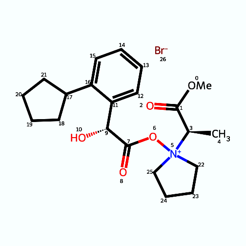 COC(=O)[C@@H](C)[N+]1(OC(=O)[C@H](O)c2ccccc2C2CCCC2)CCCC1.[Br-]